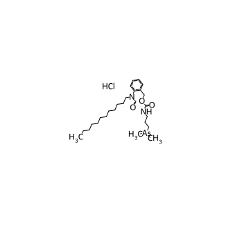 CCCCCCCCCCCCN(C=O)c1ccccc1COC(=O)NCCC[As](C)C.Cl